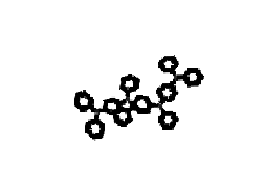 C1=CC(c2ccccc2)(N(c2ccccc2)c2ccc(N(c3ccccc3)c3ccccc3)cc2)CC=C1N(c1ccccc1)c1ccc(N(c2ccccc2)c2ccccc2)cc1